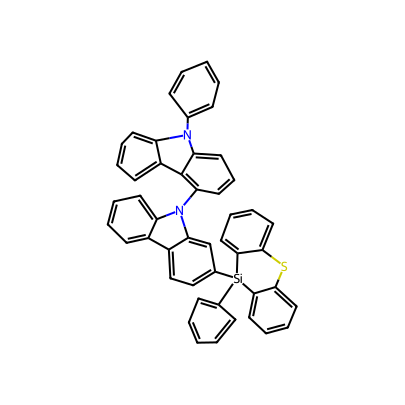 c1ccc(-n2c3ccccc3c3c(-n4c5ccccc5c5ccc([Si]6(c7ccccc7)c7ccccc7Sc7ccccc76)cc54)cccc32)cc1